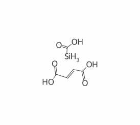 O=C(O)C=CC(=O)O.O=C(O)[SiH3]